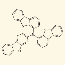 c1ccc2c(c1)oc1cc(N(c3cccc4c3sc3ccccc34)c3cccc4c3sc3ccccc34)ccc12